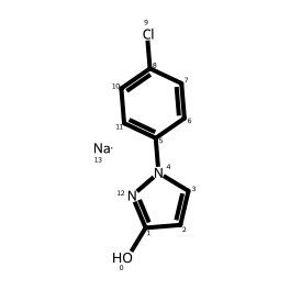 Oc1ccn(-c2ccc(Cl)cc2)n1.[Na]